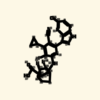 N#Cc1c(-c2n[nH]c3ncc(Cl)nc23)nc(N[C@H]2C3CCC(CC3)[C@@H]2C(=O)O)c(F)c1C1CC1